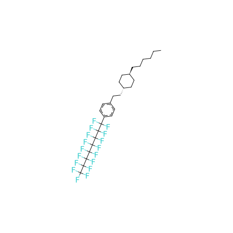 CCCCCC[C@H]1CC[C@H](CCc2ccc(C(F)(F)C(F)(F)C(F)(F)C(F)(F)C(F)(F)C(F)(F)C(F)(F)C(F)(F)F)cc2)CC1